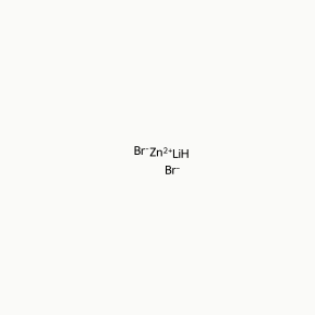 [Br-].[Br-].[LiH].[Zn+2]